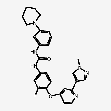 Cn1cc(-c2cc(Oc3ccc(NC(=O)Nc4cccc(N5CCCCC5)c4)cc3F)ccn2)cn1